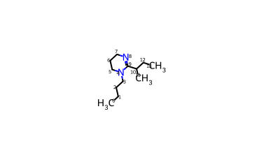 CCCCN1CCCN=C1C(C)CC